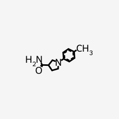 Cc1ccc(N2CCC(C(N)=O)C2)cc1